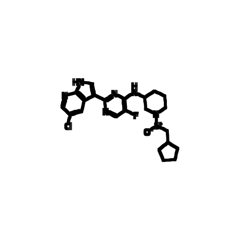 [O-][S+](CC1CCCC1)N1CCCC(Nc2nc(-c3c[nH]c4ncc(Cl)cc34)ncc2F)C1